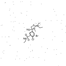 CCNS(=O)(=O)c1cc(C2(O)CSC(=[N+](CC)CC)N2C)ccc1Cl.[Br-]